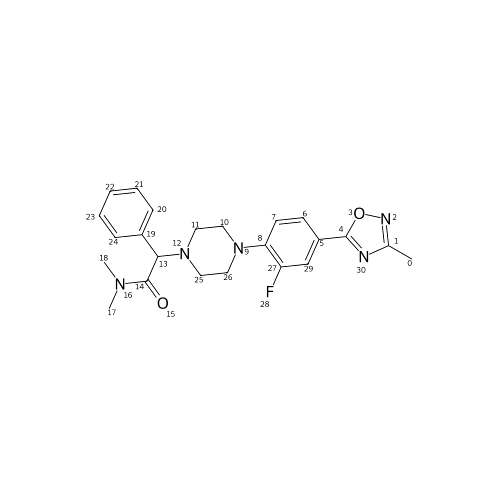 Cc1noc(-c2ccc(N3CCN(C(C(=O)N(C)C)c4ccccc4)CC3)c(F)c2)n1